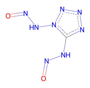 O=NNc1nnnn1NN=O